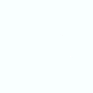 N#CC(=O)CCc1ccccc1